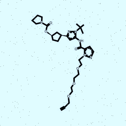 C#CCOCCOCCOCCn1nccc1C(=O)Nc1cc([C@H]2CC[C@@H](OC(=O)N3CCCC3)C2)nn1C(C)(C)C